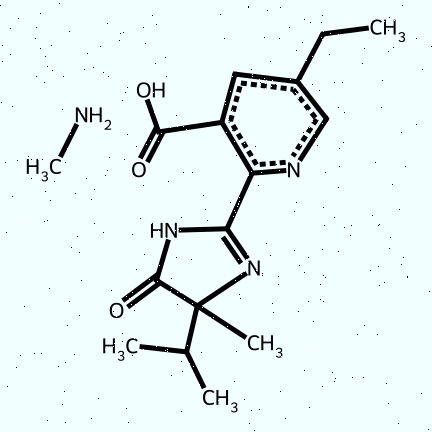 CCc1cnc(C2=NC(C)(C(C)C)C(=O)N2)c(C(=O)O)c1.CN